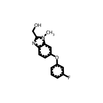 Cn1c(CO)nc2ccc(Oc3cccc(F)c3)cc21